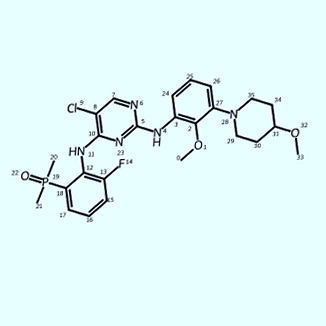 COc1c(Nc2ncc(Cl)c(Nc3c(F)cccc3P(C)(C)=O)n2)cccc1N1CCC(OC)CC1